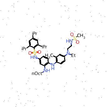 CCCCCCCCNc1cc(NS(=O)(=O)c2c(C(C)C)cc(C(C)C)cc2C(C)C)ccc1Nc1ccc(N(CC)CCNS(C)(=O)=O)cc1C